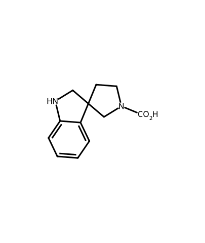 O=C(O)N1CCC2(CNc3ccccc32)C1